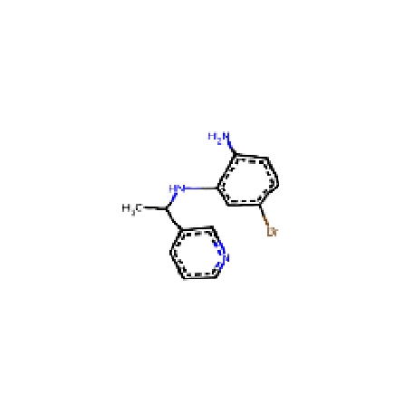 CC(Nc1cc(Br)ccc1N)c1cccnc1